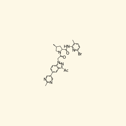 CC(=O)c1nn(CC(=O)N2C[C@@H](C)CC2C(=O)Nc2nc(Br)ccc2C)c2ccc(-c3cnc(C)nc3)cc12